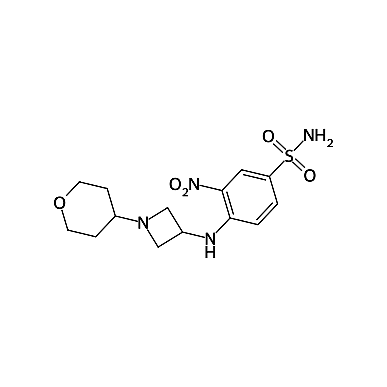 NS(=O)(=O)c1ccc(NC2CN(C3CCOCC3)C2)c([N+](=O)[O-])c1